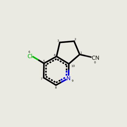 N#CC1CCc2c(Cl)ccnc21